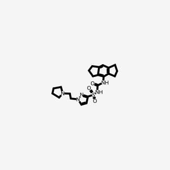 O=C(Nc1c2c(cc3c1CCC3)CCC2)NS(=O)(=O)c1ccn(CCN2CCCC2)n1